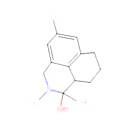 CCc1cc2c3c(c1)CN(C)C(C)(O)C3CCC2